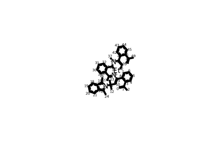 C=C(C)c1ccccc1C(=C/C(C)(C)n1c(C)c2ccccc2c1C)/N=C(\C)c1ccccc1C(CC)N(C)/C(=C\C)c1ccccc1C(=C)C